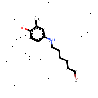 Cc1cc(NCCCCCCBr)ccc1O